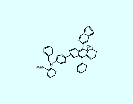 CNC1=C(N(Cc2ccccc2)c2ccc(-c3ccc4c(c3)=C(C3=CC=CCC3)C3=CCCCC3(C)C=4c3ccc4ccccc4c3)cc2)CCC=C1